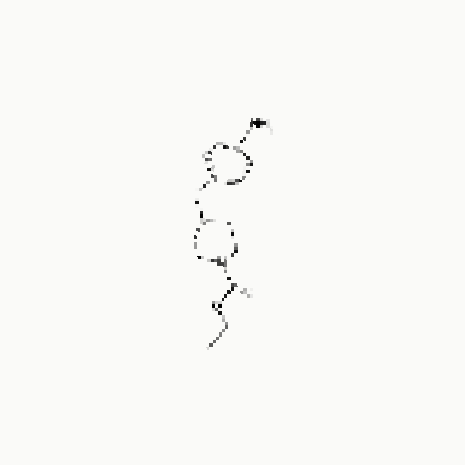 CCOC(=O)N1CCN(Cc2ccc(N)cc2)CC1